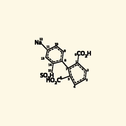 O=C(O)c1cccc(C(=O)O)c1-c1cc[c]([Na])cc1S(=O)(=O)O